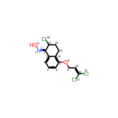 O/N=C1/c2cccc(OCC=C(Cl)Cl)c2CCC1Cl